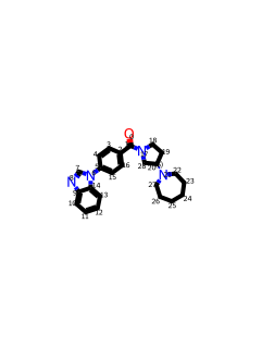 O=C(c1ccc(-n2cnc3ccccc32)cc1)N1CC[C@H](N2CCCCCC2)C1